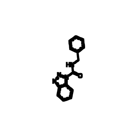 O=C(NCc1ccccc1)n1nnc2ccccc21